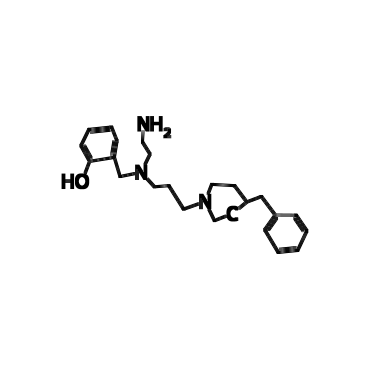 NCCN(CCCN1CCC(Cc2ccccc2)CC1)Cc1ccccc1O